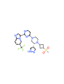 CS(=O)(=O)C1CC(N2CCN(c3ccnc(-c4cnc5ccc(C(F)(F)F)cn45)n3)C[C@H]2c2cn[nH]c2)C1